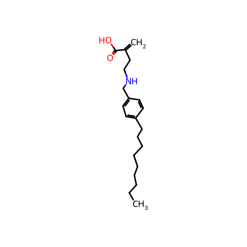 C=C(CCNCc1ccc(CCCCCCCCC)cc1)C(=O)O